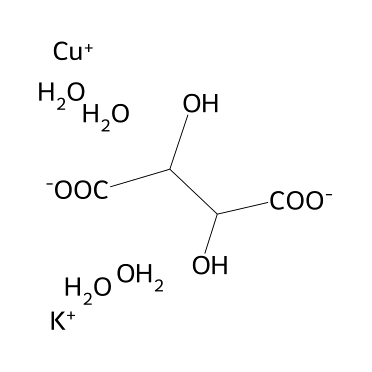 O.O.O.O.O=C([O-])C(O)C(O)C(=O)[O-].[Cu+].[K+]